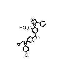 O=C(c1ccc(-n2nncc2-c2ccccc2)c(C(=O)O)c1)c1ccc(N(CC2CC2)c2ccc(Cl)cc2)cn1